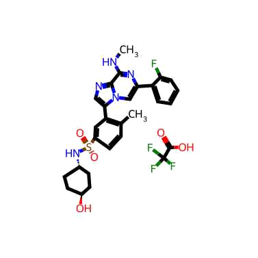 CNc1nc(-c2ccccc2F)cn2c(-c3cc(S(=O)(=O)N[C@H]4CC[C@H](O)CC4)ccc3C)cnc12.O=C(O)C(F)(F)F